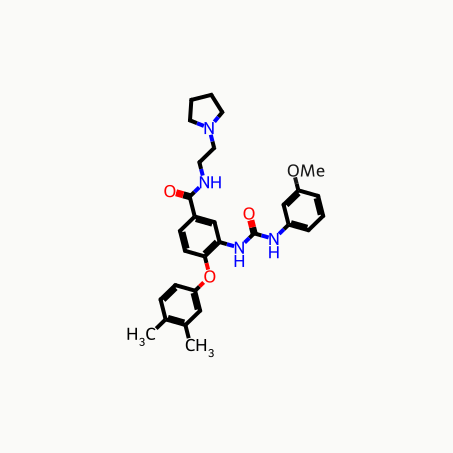 COc1cccc(NC(=O)Nc2cc(C(=O)NCCN3CCCC3)ccc2Oc2ccc(C)c(C)c2)c1